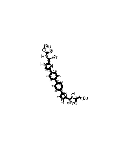 CC(C)[C@H](NC(=O)CC(C)(C)C)c1nc(-c2ccc(-c3ccc(-c4c[nH]c([C@@H](NC(=O)OC(C)(C)C)C(C)C)n4)cc3)cc2)c[nH]1